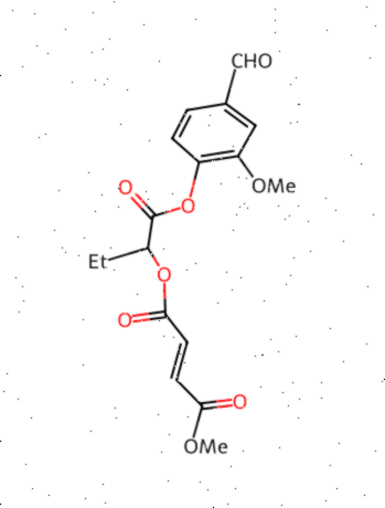 CCC(OC(=O)/C=C/C(=O)OC)C(=O)Oc1ccc(C=O)cc1OC